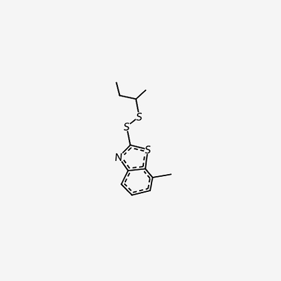 CCC(C)SSc1nc2cccc(C)c2s1